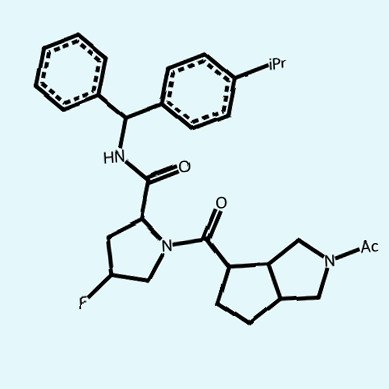 CC(=O)N1CC2CCC(C(=O)N3CC(F)CC3C(=O)NC(c3ccccc3)c3ccc(C(C)C)cc3)C2C1